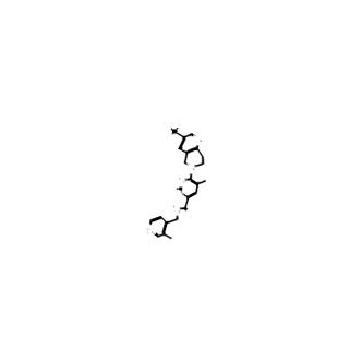 Cc1cnccc1CNC(=O)c1cc(C)c(N2CCc3ncc(C(F)(F)F)cc3C2)nn1